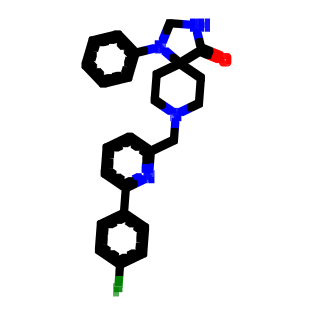 O=C1NCN(c2ccccc2)C12CCN(Cc1cccc(-c3ccc(F)cc3)n1)CC2